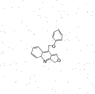 [c]1ccc(OCC2=C3C=CC=CC3N=C3COC=C32)cc1